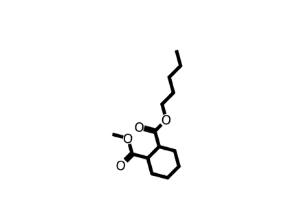 CCCCCOC(=O)C1CCCCC1C(=O)OC